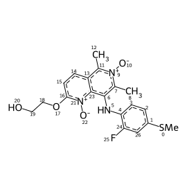 CSc1ccc(Nc2c(C)[n+]([O-])c(C)c3ccc(OCCO)[n+]([O-])c23)c(F)c1